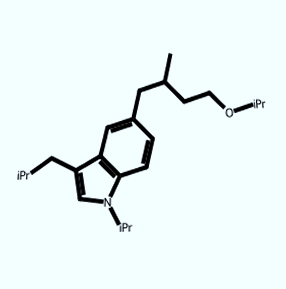 CC(C)Cc1cn(C(C)C)c2ccc(CC(C)CCOC(C)C)cc12